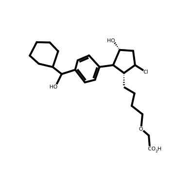 O=C(O)COCCCC[C@H]1C(Cl)C[C@@H](O)C1c1ccc(C(O)C2CCCCC2)cc1